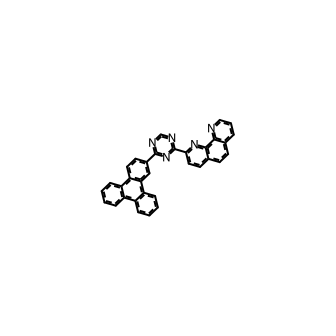 c1cnc2c(c1)ccc1ccc(-c3ncnc(-c4ccc5c6ccccc6c6ccccc6c5c4)n3)nc12